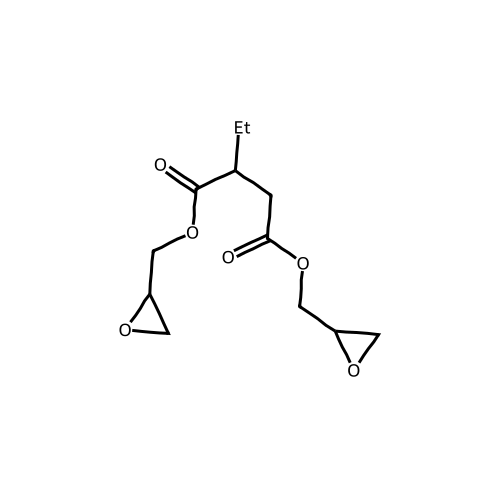 CCC(CC(=O)OCC1CO1)C(=O)OCC1CO1